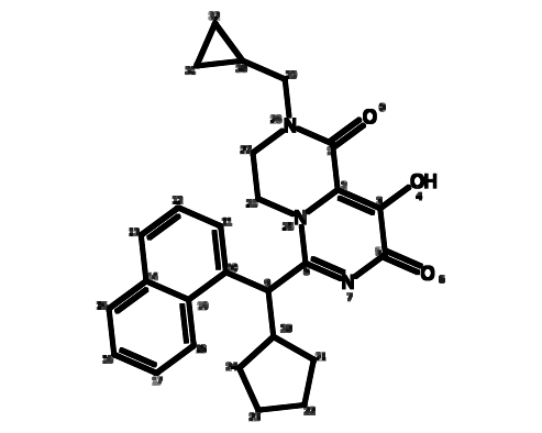 O=C1c2c(O)c(=O)nc(C(c3cccc4ccccc34)C3CCCC3)n2CCN1CC1CC1